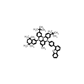 Cc1cc2c3c(c1)N(c1ccc(-c4cccc5c4oc4ccccc45)cc1)c1cc(C(C)(C)C)ccc1B3c1cc(C(C)(C)C)ccc1N2c1ccc2c(c1)C(C)(C)CCC2(C)C